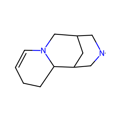 C1=CN2CC3C[N]CC(C3)C2CC1